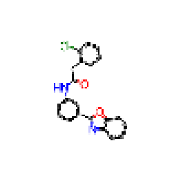 O=C(Cc1ccccc1Cl)Nc1cccc(-c2nc3ccccc3o2)c1